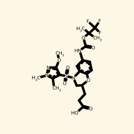 COc1nn(C)c(C)c1S(=O)(=O)N1CC(CCC(=O)O)Oc2ccc(NC(=O)OC(C)(C)C(F)(F)F)cc21